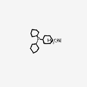 C1CCC(P(C2CCCCC2)C2CCCCC2)CC1.[CH3][Ni]